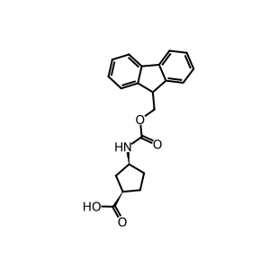 O=C(N[C@H]1CC[C@@H](C(=O)O)C1)OCC1c2ccccc2-c2ccccc21